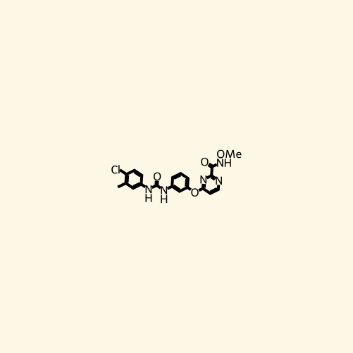 CONC(=O)c1nccc(Oc2cccc(NC(=O)Nc3ccc(Cl)c(C)c3)c2)n1